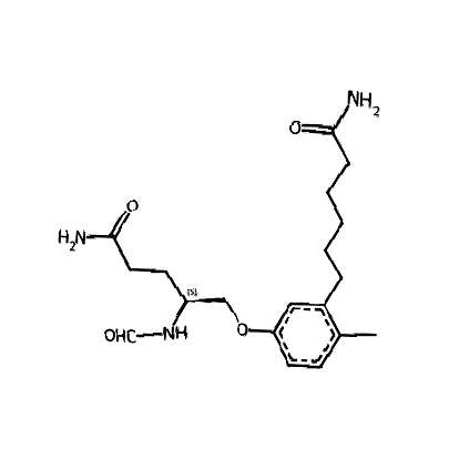 Cc1ccc(OC[C@H](CCC(N)=O)NC=O)cc1CCCCCC(N)=O